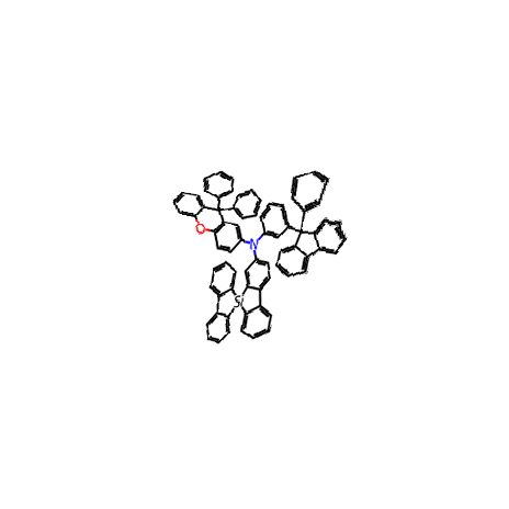 c1ccc(C2(c3ccccc3)c3ccccc3Oc3ccc(N(c4cccc(C5(c6ccccc6)c6ccccc6-c6ccccc65)c4)c4ccc5c(c4)[Si]4(c6ccccc6-c6ccccc64)c4ccccc4-5)cc32)cc1